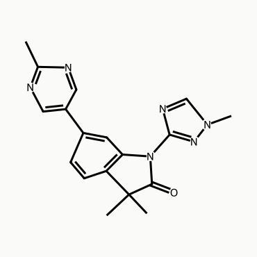 Cc1ncc(-c2ccc3c(c2)N(c2ncn(C)n2)C(=O)C3(C)C)cn1